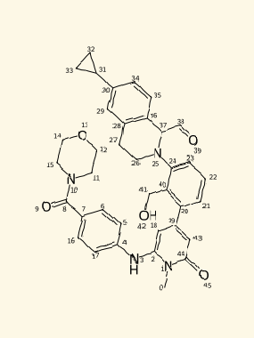 Cn1c(Nc2ccc(C(=O)N3CCOCC3)cc2)cc(-c2cccc(N3CCc4cc(C5CC5)ccc4C3C=O)c2CO)cc1=O